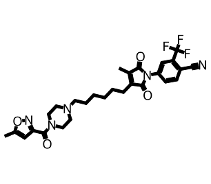 CC1=C(CCCCCCN2CCN(C(=O)c3cc(C)on3)CC2)C(=O)N(c2ccc(C#N)c(C(F)(F)F)c2)C1=O